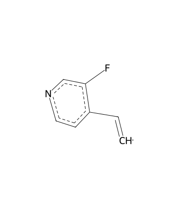 [CH]=Cc1ccncc1F